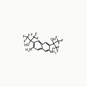 Nc1cc2cc(N)c(C(O)(C(F)(F)F)C(F)(F)F)cc2cc1C(O)(C(F)(F)F)C(F)(F)F